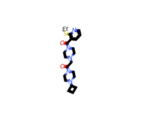 CCSc1ncccc1C(=O)N1CCN(CC(=O)N2CCN(C3CCC3)CC2)CC1